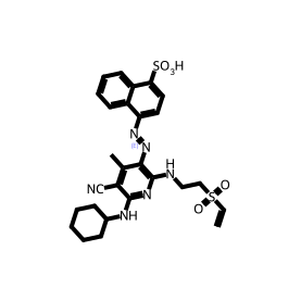 C=CS(=O)(=O)CCNc1nc(NC2CCCCC2)c(C#N)c(C)c1/N=N/c1ccc(S(=O)(=O)O)c2ccccc12